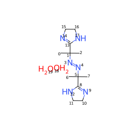 CC(C)(N=NC(C)(C)C1=NCCN1)C1=NCCN1.O.O